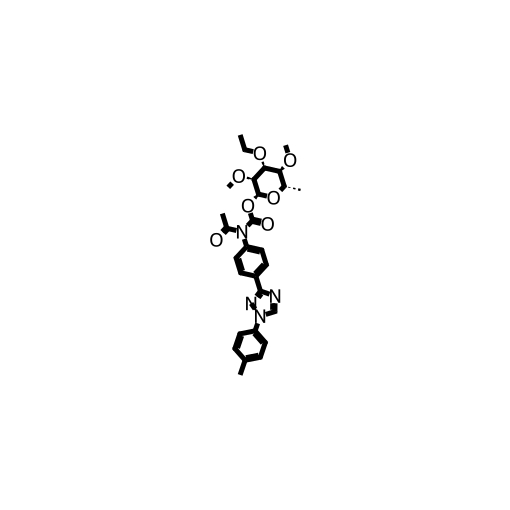 CCO[C@@H]1[C@@H](OC)[C@H](C)O[C@@H](OC(=O)N(C(C)=O)c2ccc(-c3ncn(-c4ccc(C)cc4)n3)cc2)[C@@H]1OC